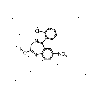 O=[N+]([O-])c1ccc2c(c1)C(c1ccccc1Cl)=NCC(OI)=N2